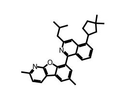 Cc1cc(-c2nc(CC(C)C)cc3c(C4CCC(C)(C)C4)cccc23)c2oc3nc(C)ccc3c2c1